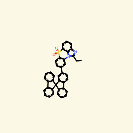 CCc1nc2cccc3c2n1-c1cc(-c2ccc4c(c2)C2(c5ccccc5-c5ccccc52)c2ccccc2-4)ccc1S3(=O)=O